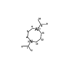 CC(C)N1CC[CH2][Al]([CH](C)C)[CH2]CC1